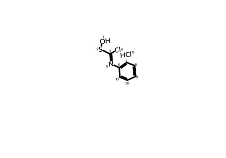 Cl.OSC(Cl)=Nc1ccccc1